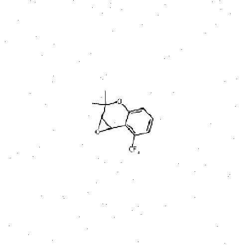 CC1(C)Oc2cccc(C(F)(F)F)c2C2OC21